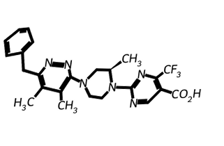 Cc1c(Cc2ccccc2)nnc(N2CCN(c3ncc(C(=O)O)c(C(F)(F)F)n3)[C@H](C)C2)c1C